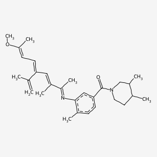 C=C(C)C(=C\C=C(/C)OC)/C=C(C)/C(C)=N/c1cc(C(=O)N2CCC(C)C(C)C2)ccc1C